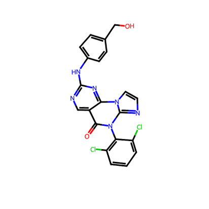 O=c1c2cnc(Nc3ccc(CO)cc3)nc2n2ccnc2n1-c1c(Cl)cccc1Cl